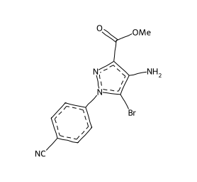 COC(=O)c1nn(-c2ccc(C#N)cc2)c(Br)c1N